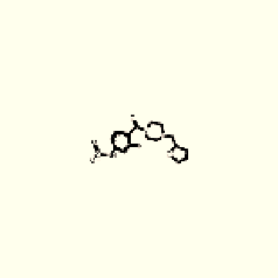 O=C(c1ccc(N[SH](=O)=O)cc1F)N1CCN(CC2CCCO2)CC1